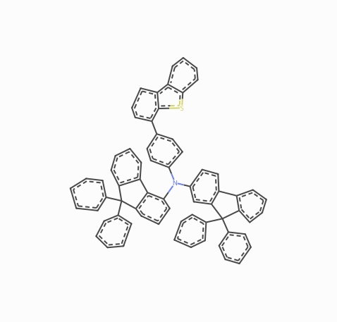 c1ccc(C2(c3ccccc3)c3ccccc3-c3ccc(N(c4ccc(-c5cccc6c5sc5ccccc56)cc4)c4cccc5c4-c4ccccc4C5(c4ccccc4)c4ccccc4)cc32)cc1